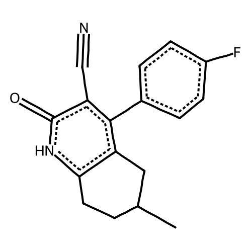 CC1CCc2[nH]c(=O)c(C#N)c(-c3ccc(F)cc3)c2C1